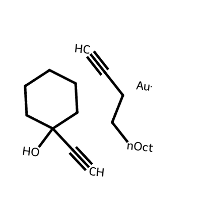 C#CC1(O)CCCCC1.C#CCCCCCCCCCC.[Au]